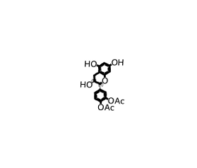 CC(=O)Oc1ccc([C@H]2Oc3cc(O)cc(O)c3C[C@H]2O)cc1OC(C)=O